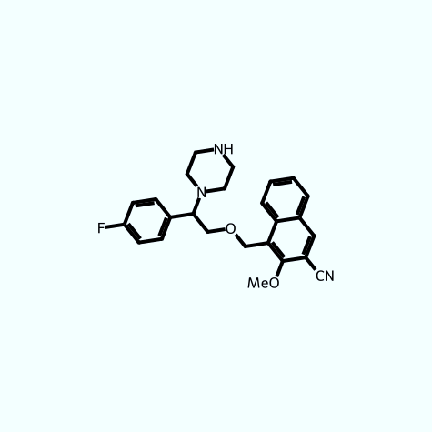 COc1c(C#N)cc2ccccc2c1COCC(c1ccc(F)cc1)N1CCNCC1